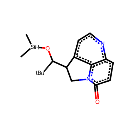 C[SiH](C)OC(C1Cn2c(=O)ccc3nccc1c32)C(C)(C)C